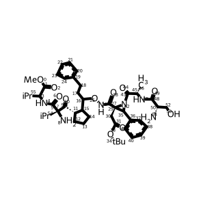 COC(=O)C(NC(=O)[C@@](N)(C(=O)[C@H]1CCCC1C(CCc1ccccc1)ONC(=O)[C@@]1(CC(=O)OC(C)(C)C)C(c2ccccc2)N1C(=O)[C@H](C)NC(=O)[C@@H](N)CO)C(C)C)C(C)C